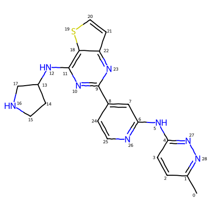 Cc1ccc(Nc2cc(-c3nc(NC4CCNC4)c4sccc4n3)ccn2)nn1